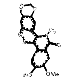 COc1cc2c(=O)n(C)c3c4cc5c(cc4nnc3c2cc1OC)OCO5